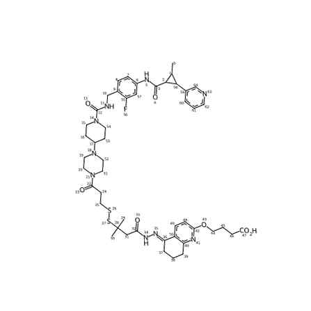 CC1C(C(=O)Nc2ccc(CNC(=O)N3CCC(N4CCN(C(=O)CCSSC(C)(C)CC(=O)N/N=C5\CCCc6nc(OCCCC(=O)O)ccc65)CC4)CC3)c(F)c2)C1c1cccnc1